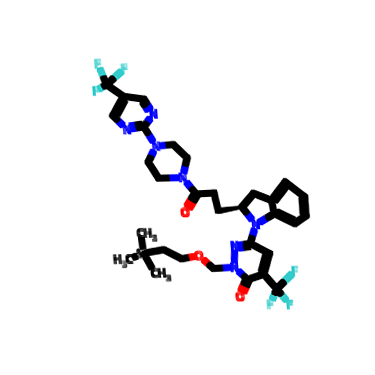 C[Si](C)(C)CCOCn1nc(N2c3ccccc3C[C@@H]2CCC(=O)N2CCN(c3ncc(C(F)(F)F)cn3)CC2)cc(C(F)(F)F)c1=O